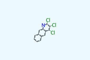 Clc1nc2cc3ccccc3cc2c(Cl)c1Cl